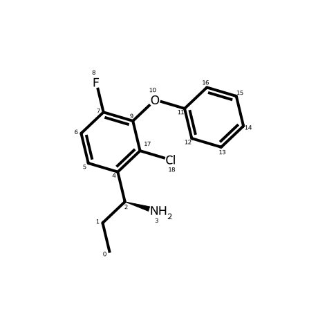 CC[C@H](N)c1ccc(F)c(Oc2ccccc2)c1Cl